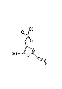 CCc1oc(C)nc1CS(=O)(=O)CC